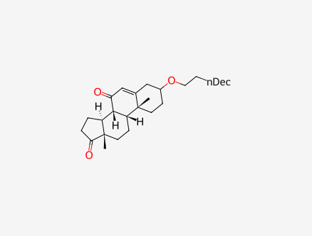 CCCCCCCCCCCCOC1CC[C@@]2(C)C(=CC(=O)[C@@H]3[C@H]2CC[C@]2(C)C(=O)CC[C@@H]32)C1